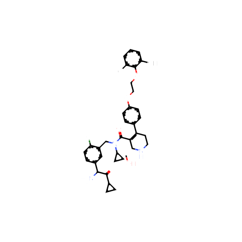 Cc1cccc(C)c1OCCOc1ccc(C2=C(C(=O)N(Cc3cc(C(N)C(=O)C4CC4)ccc3Cl)C3CC3)[C@@H](CO)NCC2)cc1